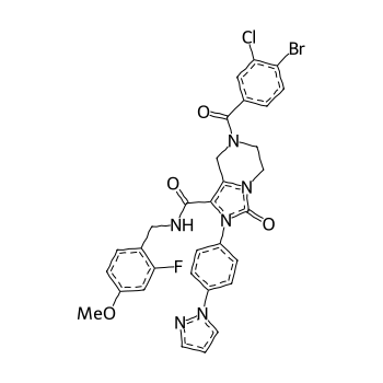 COc1ccc(CNC(=O)c2c3n(c(=O)n2-c2ccc(-n4cccn4)cc2)CCN(C(=O)c2ccc(Br)c(Cl)c2)C3)c(F)c1